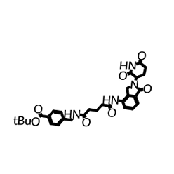 CC(C)(C)OC(=O)c1ccc(CNC(=O)CCCC(=O)Nc2cccc3c2CN(C2CCC(=O)NC2=O)C3=O)cc1